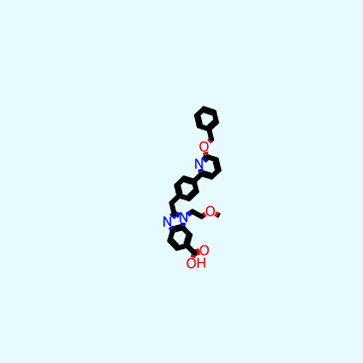 COCCn1c(Cc2ccc(-c3cccc(OCc4ccccc4)n3)cc2)nc2ccc(C(=O)O)cc21